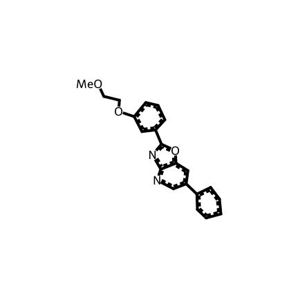 COCCOc1cccc(-c2nc3ncc(-c4ccccc4)cc3o2)c1